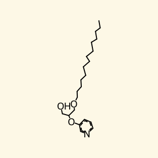 CCCCCCCCCCCCCCOCC(CO)Oc1cccnc1